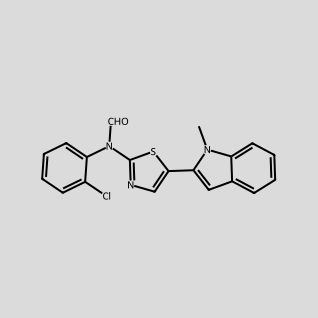 Cn1c(-c2cnc(N(C=O)c3ccccc3Cl)s2)cc2ccccc21